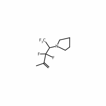 C=C(C)C(F)(F)C(N1CCCC1)C(F)(F)F